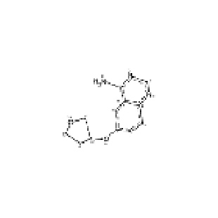 Nc1ncnc2ccc(O[C@H]3CCOC3)cc12